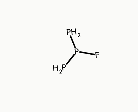 FP(P)P